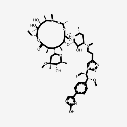 CC[C@H]1OC(=O)[C@H](C)C([C@H]2C[C@@](C)(OC)[C@@H](O)[C@H](C)O2)[C@H](C)[C@@H](O[C@@H]2O[C@H](C)C[C@H](N(C)CCc3cn([C@H](CF)[C@H](OC)c4ccc(-c5csc(O)n5)cc4)nn3)[C@H]2O)[C@](C)(O)C[C@@H](C)CN(C)[C@H](C)[C@@H](O)[C@]1(C)O